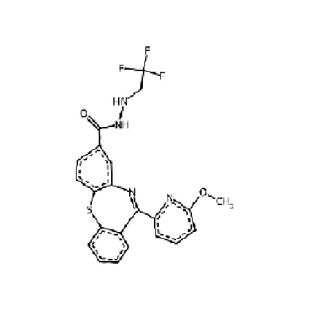 COc1cccc(C2=Nc3cc(C(=O)NNCC(F)(F)F)ccc3Sc3ccccc32)n1